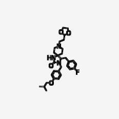 CC(C)COc1ccc(CN2C(=O)NC3(CCN(CCC4OCCO4)CC3)C2Cc2ccc(F)cc2)cc1